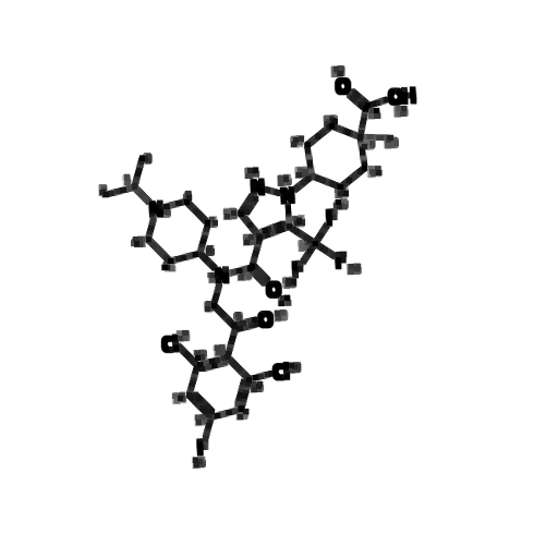 CC(C)N1CCC(N(CC(=O)c2c(Cl)cc(F)cc2Cl)C(=O)c2cnn(C3CCC(C)(C(=O)O)CC3)c2C(F)(F)F)CC1